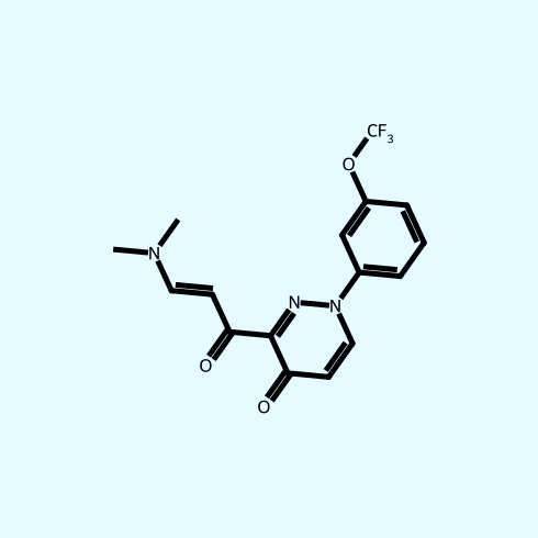 CN(C)C=CC(=O)c1nn(-c2cccc(OC(F)(F)F)c2)ccc1=O